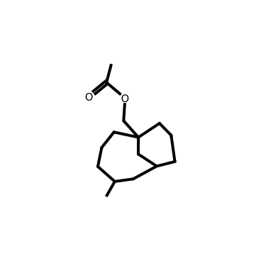 CC(=O)OCC12CCCC(C)CC(CCC1)C2